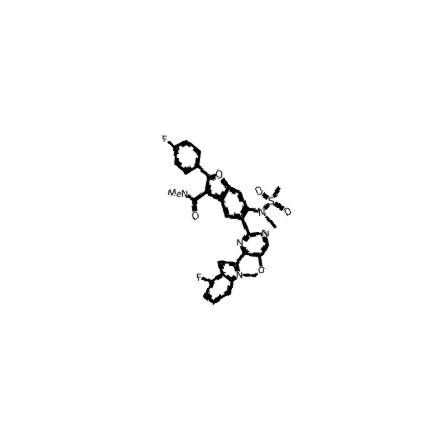 CNC(=O)c1c(-c2ccc(F)cc2)oc2cc(N(C)S(C)(=O)=O)c(-c3ncc4c(n3)-c3cc5c(F)cccc5n3CO4)cc12